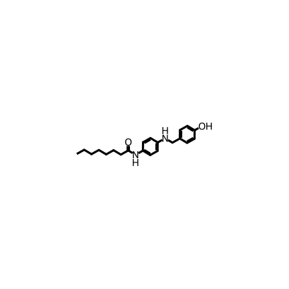 CCCCCCCC(=O)Nc1ccc(NCc2ccc(O)cc2)cc1